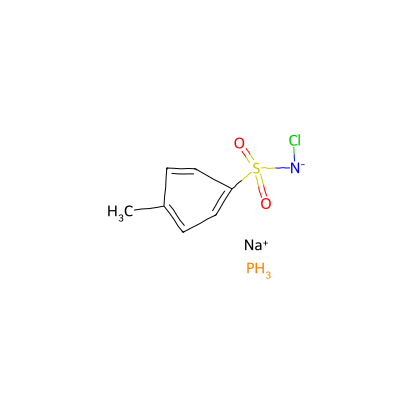 Cc1ccc(S(=O)(=O)[N-]Cl)cc1.P.[Na+]